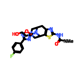 CNC(=O)Nc1nc2c(s1)C1CN(CCO)CC(C2)N1c1nc(-c2ccc(F)cc2)no1